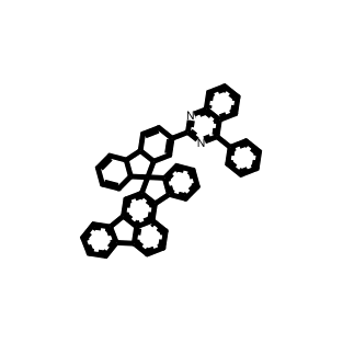 C1=CC2C3C=CC(c4nc(-c5ccccc5)c5ccccc5n4)=CC3C3(c4ccccc4-c4c3cc3c5c(cccc45)-c4ccccc4-3)C2C=C1